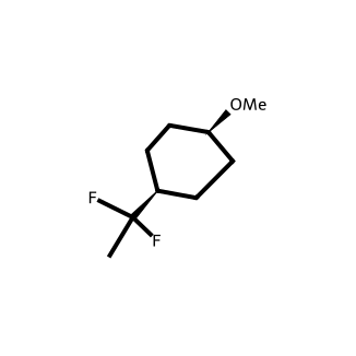 CO[C@H]1CC[C@@H](C(C)(F)F)CC1